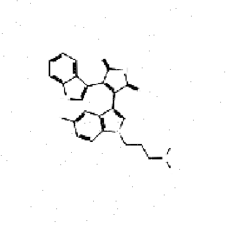 CCN(CC)CCCn1cc(C2=C(c3c[nH]c4ccccc34)C(=O)NC2=O)c2cc(Cl)ccc21